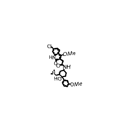 COc1cccc(C2(O)CCC(NC(=O)Cc3c(OC)c4ccc(Cl)cc4[nH]c3=O)CC2CN(C)C)c1